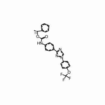 C[C@H](OC(=O)Nc1ccc(-c2ncn(-c3ccc(OC(F)(F)F)cc3)n2)cc1)c1ccccc1